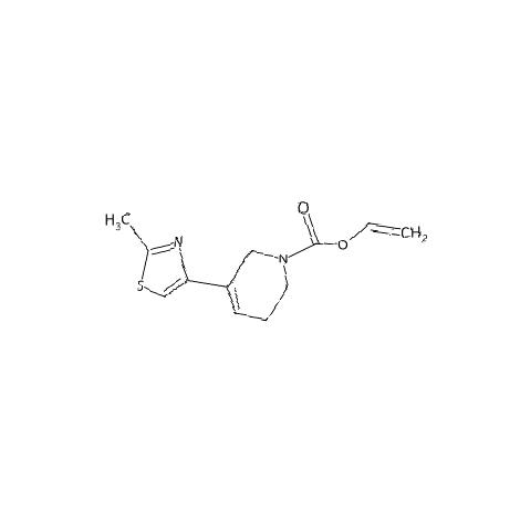 C=COC(=O)N1CCC=C(c2csc(C)n2)C1